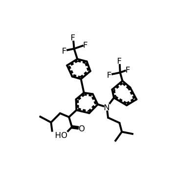 CC(C)CCN(c1cc(-c2ccc(C(F)(F)F)cc2)cc(C(CC(C)C)C(=O)O)c1)c1cccc(C(F)(F)F)c1